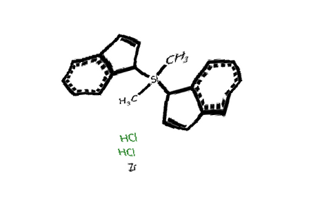 C[Si](C)(C1C=Cc2ccccc21)C1C=Cc2ccccc21.Cl.Cl.[Zr]